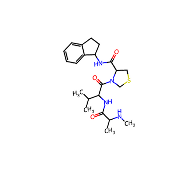 CNC(C)C(=O)NC(C(=O)N1CSCC1C(=O)NC1CCc2ccccc21)C(C)C